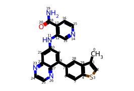 Cc1csc2ccc(-c3cc(Nc4cnccc4C(N)=O)cc4nccnc34)cc12